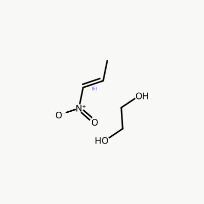 C/C=C/[N+](=O)[O-].OCCO